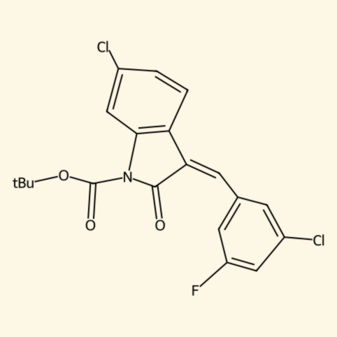 CC(C)(C)OC(=O)N1C(=O)/C(=C\c2cc(F)cc(Cl)c2)c2ccc(Cl)cc21